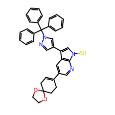 Sn1cc(-c2cnn(C(c3ccccc3)(c3ccccc3)c3ccccc3)c2)c2cc(C3=CCC4(CC3)OCCO4)cnc21